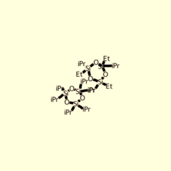 CC(C)[Si]1(C(C)C)O[Si](C(C)C)(C(C)C)O[Si](C(C)C)(C(C)C)O1.CC[Si]1(C(C)C)O[Si](CC)(C(C)C)O[Si](CC)(C(C)C)O1